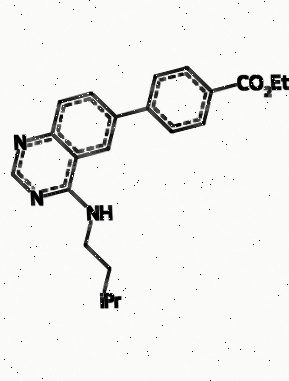 CCOC(=O)c1ccc(-c2ccc3ncnc(NCCC(C)C)c3c2)cc1